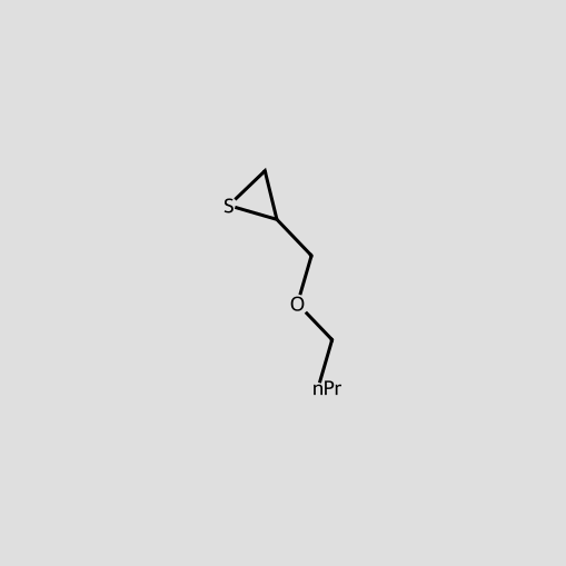 CCCCOCC1CS1